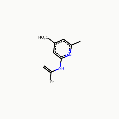 C=C(Nc1cc(C(=O)O)cc(C)n1)C(C)C